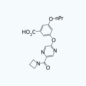 CCCOc1cc(Oc2cnc(C(=O)N3CCC3)cn2)cc(C(=O)O)c1